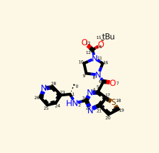 C[C@H](Nc1nc(C(=O)N2CCN(C(=O)OC(C)(C)C)C2)c2sccc2n1)c1cccnc1